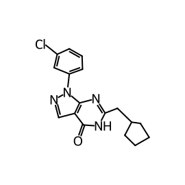 O=c1[nH]c(CC2CCCC2)nc2c1cnn2-c1cccc(Cl)c1